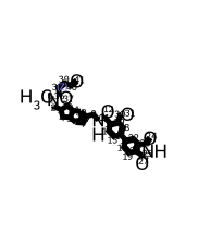 CN(CC1CC2C3CC(CNC(=O)c4ccc(-c5ccc6c(c5)C(=O)NC6=O)cc4C=O)C(C3)C2C1)C(=O)/C=C\C=O